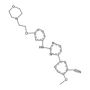 COc1ccc(-c2ccnc(Nc3cccc(OCCN4CCOCC4)c3)n2)cc1C#N